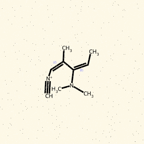 C#[N+]/C=C(C)\C(=C/C)N(C)C